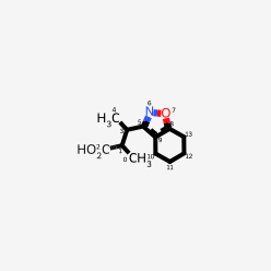 CC(C(=O)O)C(C)c1noc2c1CCCC2